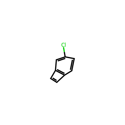 Clc1ccc2c(c1)C=C2